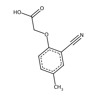 Cc1ccc(OCC(=O)O)c(C#N)c1